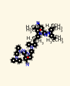 CC(C)(C)c1ccc2c(c1)c1cc(C(C)(C)C)ccc1n2-c1cc(-c2ccc(C#N)cc2)c(-n2c3ccc(C(C)(C)C)cc3c3cc(C(C)(C)Cc4cccc5c4c4ccccc4n5-c4ccc5c6ccccc6n(-c6cnc(-n7c8ccccc8c8ccc(-n9c%10ccccc%10c%10ccccc%109)cc87)cc6-c6ccc(C#N)cc6)c5c4)ccc32)cn1